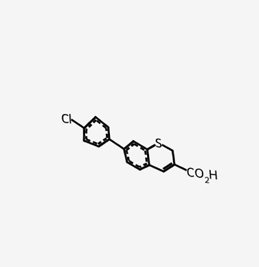 O=C(O)C1=Cc2ccc(-c3ccc(Cl)cc3)cc2SC1